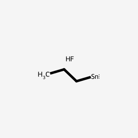 CC[CH2][Sn].F